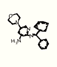 Nc1cc(N2CCOCC2)cnc1N=C(c1ccccc1)c1ccccc1